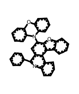 c1ccc(-c2nc3ccccc3c3c2cc(N2c4ccccc4Oc4ccccc42)c2oc4ccccc4c23)cc1